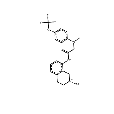 CN(CC(=O)Nc1cccc2c1C[C@H](O)CC2)c1ccc(OC(F)(F)F)cc1